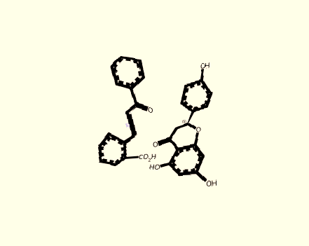 O=C(/C=C/c1ccccc1C(=O)O)c1ccccc1.O=C1C[C@@H](c2ccc(O)cc2)Oc2cc(O)cc(O)c21